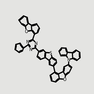 c1ccc(-c2nc(-c3ccc4c(c3)sc3ccc(-c5cccc6oc7ccc(-n8c9ccccc9c9ccccc98)cc7c56)cc34)nc(-c3cccc4c3oc3ccccc34)n2)cc1